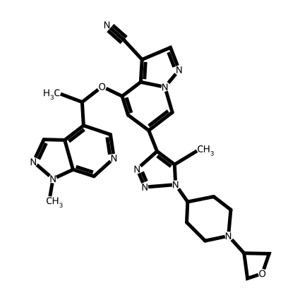 Cc1c(-c2cc(OC(C)c3cncc4c3cnn4C)c3c(C#N)cnn3c2)nnn1C1CCN(C2COC2)CC1